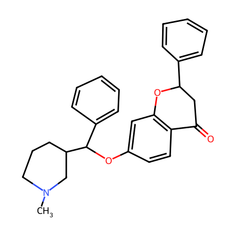 CN1CCCC(C(Oc2ccc3c(c2)OC(c2ccccc2)CC3=O)c2ccccc2)C1